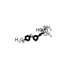 CSc1ccc(Oc2cccc(C#CC(C)N(O)C(N)=O)c2)cc1